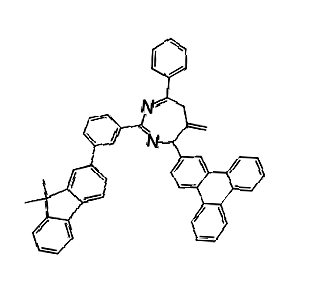 C=C1CC(c2ccccc2)=NC(c2cccc(-c3ccc4c(c3)C(C)(C)c3ccccc3-4)c2)=NC1c1ccc2c3ccccc3c3ccccc3c2c1